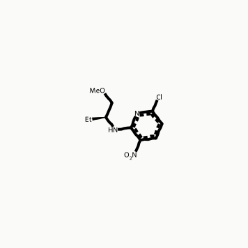 CC[C@@H](COC)Nc1nc(Cl)ccc1[N+](=O)[O-]